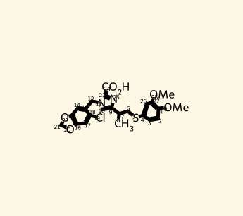 COc1ccc(SCC(C)c2cn(Cc3cc4c(cc3Cl)OCO4)c(C(=O)O)n2)cc1OC